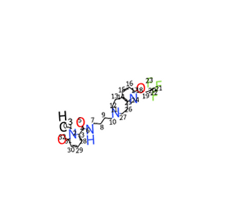 CCn1c(C(=O)NCCCCN2CCc3ccc(OCC(F)(F)F)nc3CC2)cccc1=O